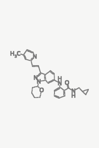 Cc1ccnc(/C=C/c2nn(C3CCCCO3)c3cc(Nc4ccccc4C(=O)NCC4CC4)ccc23)c1